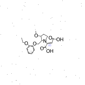 CCOc1ccccc1OCC1C(OC)CCN1/C(=C\C(=O)O)C(=O)O